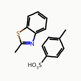 Cc1ccc(S(=O)(=O)O)cc1.Cc1nc2ccccc2s1